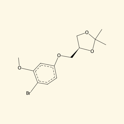 COc1cc(OC[C@H]2COC(C)(C)O2)ccc1Br